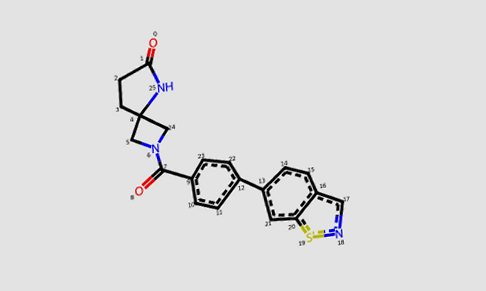 O=C1CCC2(CN(C(=O)c3ccc(-c4ccc5cnsc5c4)cc3)C2)N1